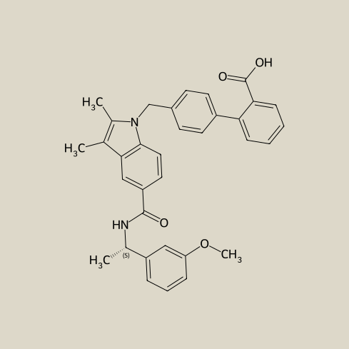 COc1cccc([C@H](C)NC(=O)c2ccc3c(c2)c(C)c(C)n3Cc2ccc(-c3ccccc3C(=O)O)cc2)c1